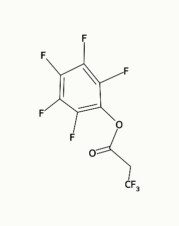 O=C(CC(F)(F)F)Oc1c(F)c(F)c(F)c(F)c1F